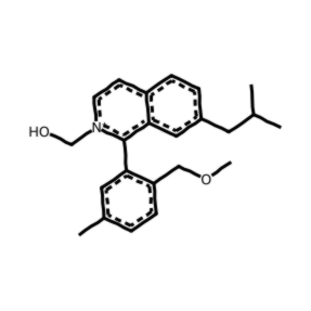 COCc1ccc(C)cc1-c1c2cc(CC(C)C)ccc2cc[n+]1CO